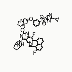 C#Cc1c(F)ccc2cccc(-c3ncc4c(N5CC6CCC(C5)N6)nc(OC[C@]56CCCN5C[C@H](Oc5cccc(S(=O)(=O)n7cnc(C8CC8)n7)c5)C6)nc4c3F)c12